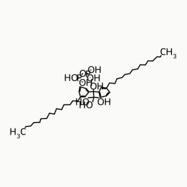 CCCCCCCCCCCCCCCc1cccc(C(O)(c2cccc(CCCCCCCCCCCCCCC)c2)C(CO)(CO)CO)c1.OP(O)OP(O)O